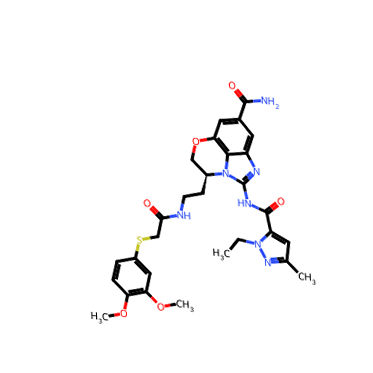 CCn1nc(C)cc1C(=O)Nc1nc2cc(C(N)=O)cc3c2n1[C@@H](CCNC(=O)CSc1ccc(OC)c(OC)c1)CO3